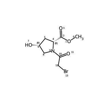 COC(=O)[C@H]1C[C@@H](O)CN1C(=O)CBr